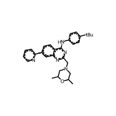 CC1CN(Cc2nc(Nc3ccc(C(C)(C)C)cc3)c3ccc(-c4ccccn4)cc3n2)CC(C)O1